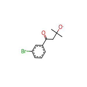 CC(C)([O])CC(=O)c1cccc(Br)c1